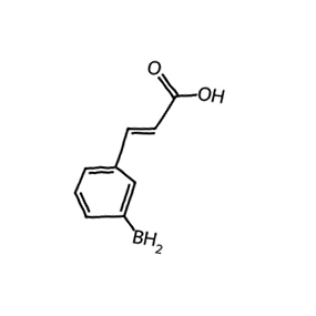 Bc1cccc(C=CC(=O)O)c1